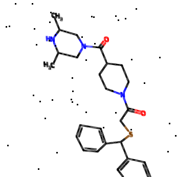 CC1CN(C(=O)C2CCN(C(=O)CSC(c3ccccc3)c3ccccc3)CC2)CC(C)N1